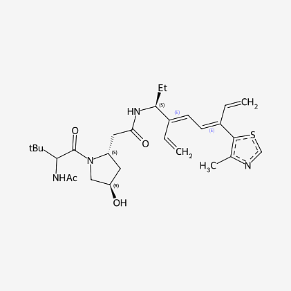 C=C/C(=C\C=C(/C=C)[C@H](CC)NC(=O)C[C@@H]1C[C@@H](O)CN1C(=O)C(NC(C)=O)C(C)(C)C)c1scnc1C